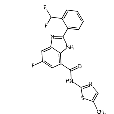 Cc1cnc(NC(=O)c2cc(F)cc3nc(-c4ccccc4C(F)F)[nH]c23)s1